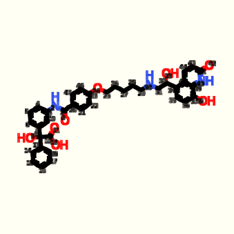 O=C(Nc1cccc(C(O)(C(=O)O)c2ccccc2)c1)c1ccc(OCCCCCNC[C@H](O)c2ccc(O)c3[nH]c(=O)ccc23)cc1